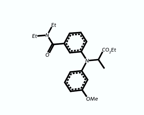 CCOC(=O)C(C)N(c1cccc(OC)c1)c1cccc(C(=O)N(CC)CC)c1